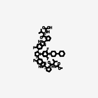 COC(=O)NC(C(=O)N1CCC[C@H]1c1nc2cc([C@H]3CC[C@H](c4cc5nc([C@@H]6CCCN6C(=O)[C@@H](NC(=O)O)C(C)C)[nH]c5cc4F)N3c3cc(F)c(N4CCC(C5CCCCC5)CC4)c(F)c3)c(F)cc2[nH]1)C(C)C